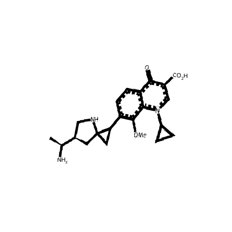 COc1c(C2CC23C[C@@H]([C@H](C)N)CN3)ccc2c(=O)c(C(=O)O)cn(C3CC3)c12